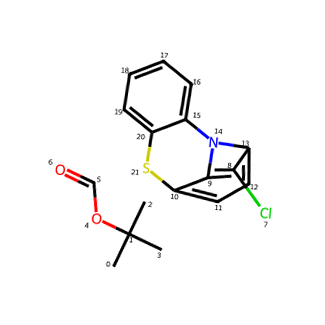 CC(C)(C)OC=O.Clc1c2c3ccc1n-2c1ccccc1s3